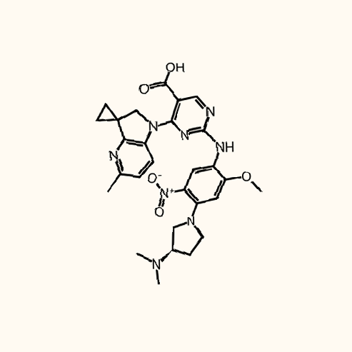 COc1cc(N2CC[C@@H](N(C)C)C2)c([N+](=O)[O-])cc1Nc1ncc(C(=O)O)c(N2CC3(CC3)c3nc(C)ccc32)n1